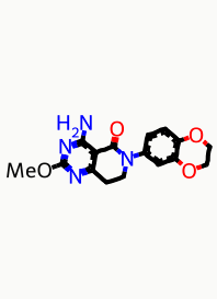 COc1nc(N)c2c(n1)CCN(c1ccc3c(c1)OCCO3)C2=O